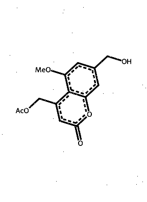 COc1cc(CO)cc2oc(=O)cc(COC(C)=O)c12